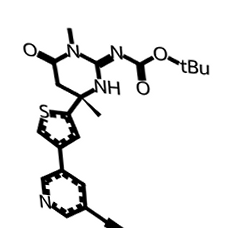 CC#Cc1cncc(-c2csc([C@]3(C)CC(=O)N(C)C(=NC(=O)OC(C)(C)C)N3)c2)c1